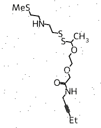 CCC#CCNC(=O)COCCOC(C)SSCCNCCSC